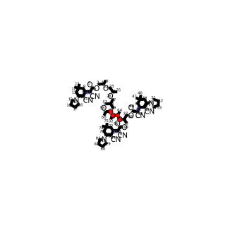 CC(COC(=O)/C(C#N)=C1\CC(C)(C)CC(N2CCCC2)=C1C#N)OCC(C)OCC(COC(C)COC(C)COC(=O)/C(C#N)=C1\CC(C)(C)CC(N2CCCC2)=C1C#N)COC(C)COC(C)COC(=O)/C(C#N)=C1\CC(C)(C)CC(N2CCCC2)=C1C#N